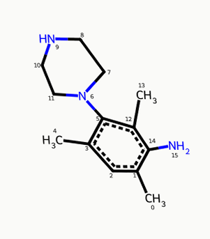 Cc1cc(C)c(N2CCNCC2)c(C)c1N